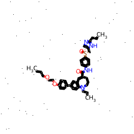 CCCCOCCOc1ccc(-c2ccc3c(c2)/C=C(/C(=O)Nc2ccc([S+]([O-])Cc4cnc(CCC)[nH]4)cc2)CCCN3CCC)cc1